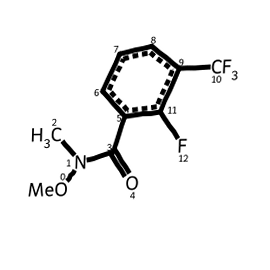 CON(C)C(=O)c1cccc(C(F)(F)F)c1F